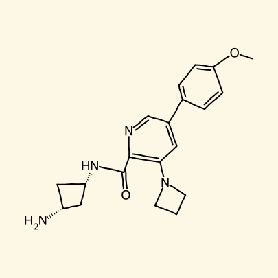 COc1ccc(-c2cnc(C(=O)N[C@H]3C[C@@H](N)C3)c(N3CCC3)c2)cc1